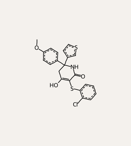 COc1ccc(C2(c3ccsc3)CC(O)=C(Sc3ccccc3Cl)C(=O)N2)cc1